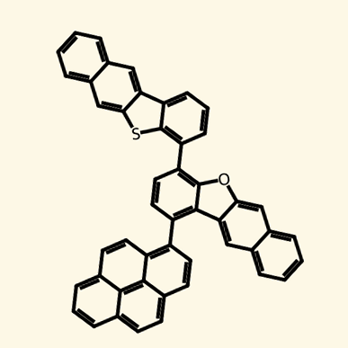 c1ccc2cc3c(cc2c1)oc1c(-c2cccc4c2sc2cc5ccccc5cc24)ccc(-c2ccc4ccc5cccc6ccc2c4c56)c13